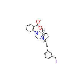 COC(=O)C1=C(N2CCN3[C@@H](CC[C@@H]3C#Cc3cccc(CI)c3)C2)CCC=C1